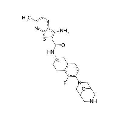 Cc1ccc2c(N)c(C(=O)N[C@H]3CCc4c(ccc(N5CC6CNCC(C5)O6)c4F)C3)sc2n1